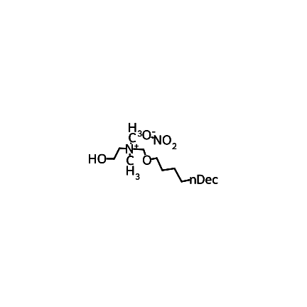 CCCCCCCCCCCCCCOC[N+](C)(C)CCO.O=[N+]([O-])[O-]